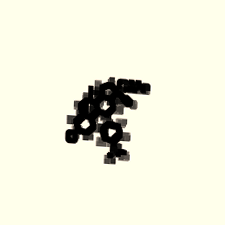 C#C[C@]1(OC)CC[C@H]2[C@@H]3CCC4=CC(=O)CCC4=C3[C@@H](c3ccc(N(C)C)cc3)C[C@@]21C